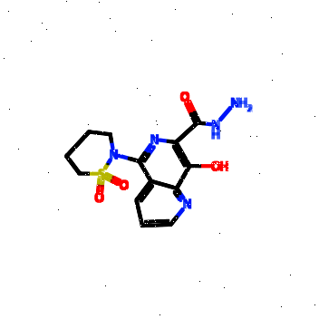 NNC(=O)c1nc(N2CCCCS2(=O)=O)c2cccnc2c1O